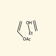 C=C.C=COC(C)=O.CCO